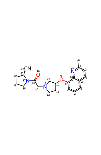 Cc1ccc2cccc(O[C@H]3CCN(CC(=O)N4CCC[C@H]4C#N)C3)c2n1